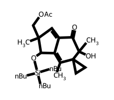 CCCC[Si](CCCC)(CCCC)OC1C2=C(C)C3(CC3)C(C)(O)C(=O)C2=CC1(C)COC(C)=O